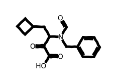 O=CN(Cc1ccccc1)C(CC1CCC1)C(=O)C(=O)O